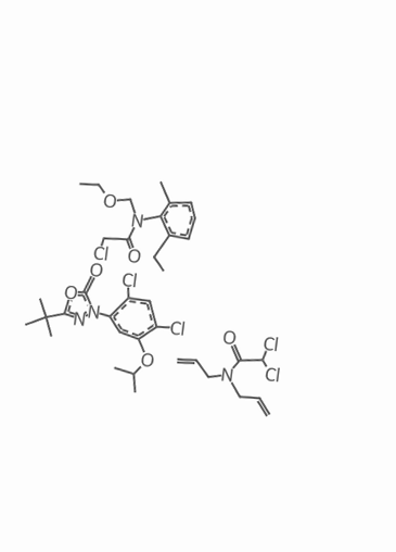 C=CCN(CC=C)C(=O)C(Cl)Cl.CC(C)Oc1cc(-n2nc(C(C)(C)C)oc2=O)c(Cl)cc1Cl.CCOCN(C(=O)CCl)c1c(C)cccc1CC